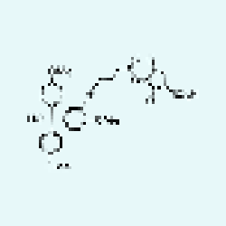 COc1ccc(C(O)(c2ccc(OC)cc2)c2ccc(OC)c(C#CCCCC(=O)ON3C(=O)CC(S(=O)(=O)O)C3=O)c2)cc1